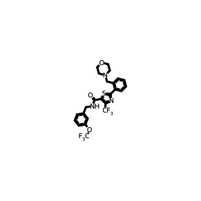 O=C(NCc1cccc(OC(F)(F)F)c1)c1sc(-c2ccccc2CN2CCOCC2)nc1C(F)(F)F